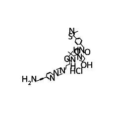 Cc1ncsc1-c1ccc(CNC(=O)[C@@H]2C[C@@H](O)CN2C(=O)[C@@H](NC(=O)CCCN2CCN(c3ccc(C#CCN)cn3)CC2)C(C)(C)C)cc1.Cl